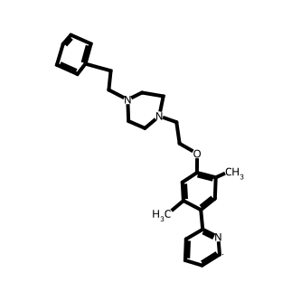 Cc1cc(-c2ccc[c]n2)c(C)cc1OCCN1CCN(CCc2ccccc2)CC1